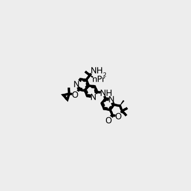 CCC[C@@](C)(N)c1cnc(OC2(C)CC2)c2cnc(Nc3ccc4c(n3)[C@@H](C)C(C)(C)OC4=O)cc12